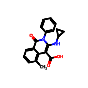 Cc1cccc2c(=O)n(-c3ccccc3)c(NC3CC3)c(C(=O)O)c12